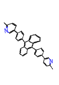 Cc1ccc(-c2ccc(-c3c4ccccc4c(-c4ccc(-c5ccc(C)nc5)cc4)c4ccccc34)cc2)cn1